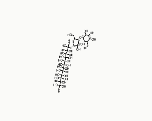 OCC1O[C@H](O[C@@H]2C(CO)O[C@@H](OC(O)(O)C(O)(O)C(O)(O)C(O)(O)C(O)(O)C(O)(O)C(O)(O)C(O)(O)C(O)(O)C(O)(O)C(O)(O)C(O)(O)O)C(O)[C@H]2O)C(O)[C@@H](O)[C@@H]1O